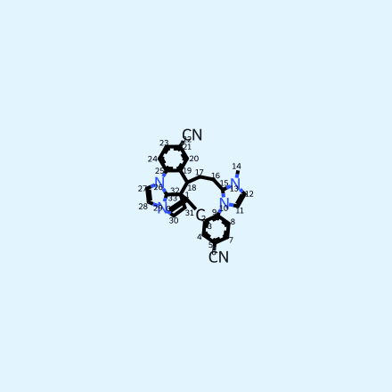 C=C1Cc2cc(C#N)ccc2N2C=CN(C)C2CCC2c3cc(C#N)ccc3N3C=CN4CCC12C43